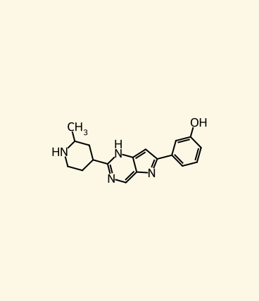 CC1CC(c2ncc3nc(-c4cccc(O)c4)cc-3[nH]2)CCN1